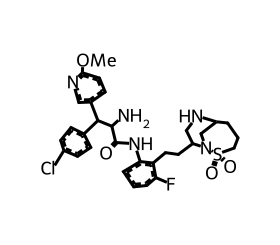 COc1ccc(C(c2ccc(Cl)cc2)C(N)C(=O)Nc2cccc(F)c2CCC2CNC3CCCS(=O)(=O)N2C3)cn1